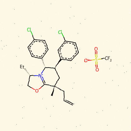 C=CC[C@@]1(C)C[C@H](c2cccc(Cl)c2)[C@@H](c2ccc(Cl)cc2)[N+]2=C1OC[C@@H]2CC.O=S(=O)([O-])C(F)(F)F